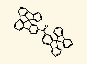 O=C(c1ccc2c(c1)C1(C3=C(C=CCC3)c3ccccc31)c1ccccc1-2)c1ccc2c(c1)C1(c3ccccc3-c3ccccc31)c1ccccc1-2